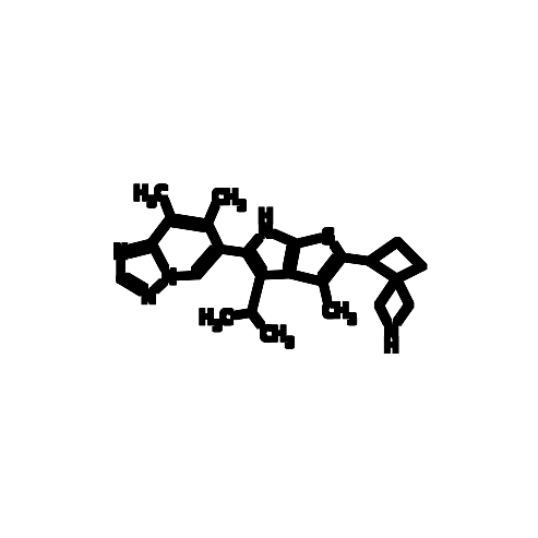 Cc1c(-c2[nH]c3sc(C4CCC45CNC5)c(C)c3c2C(C)C)cn2ncnc2c1C